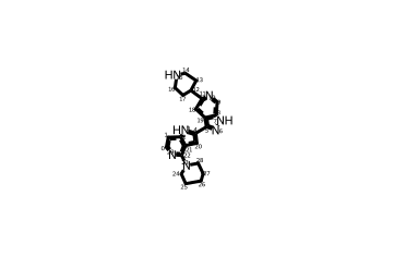 c1cc2[nH]c(-c3n[nH]c4cnc(C5CCNCC5)cc34)cc2c(N2CCCCC2)n1